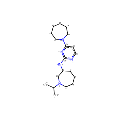 CCCC(CCC)N1CCCCC(Nc2nccc(N3CCCCCC3)n2)C1